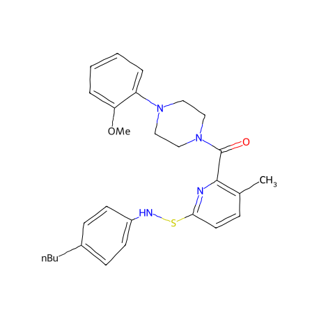 CCCCc1ccc(NSc2ccc(C)c(C(=O)N3CCN(c4ccccc4OC)CC3)n2)cc1